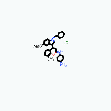 COc1ccc2c(c1)c(C(CC(=O)NC1CCC(N)CC1)c1cccc(C)c1)cn2CC1CCCCC1.Cl